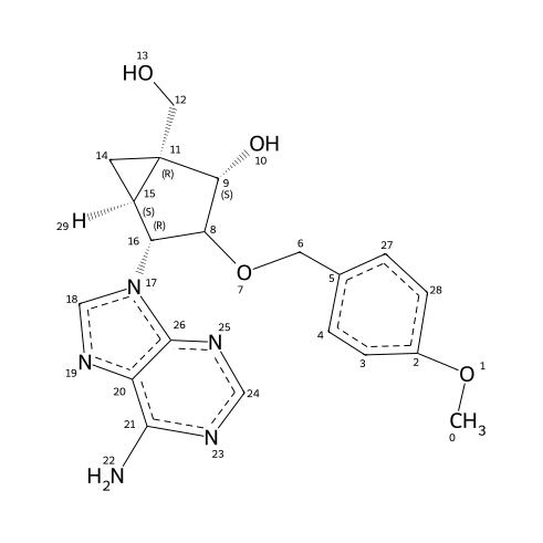 COc1ccc(COC2[C@@H](O)[C@]3(CO)C[C@@H]3[C@H]2n2cnc3c(N)ncnc32)cc1